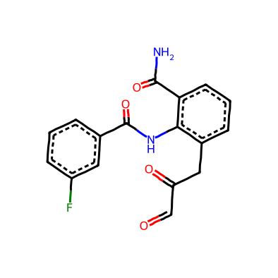 NC(=O)c1cccc(CC(=O)C=O)c1NC(=O)c1cccc(F)c1